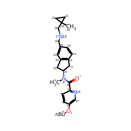 CCCCOc1ccc(C(=O)N(C)[C@@H]2Cc3ccc(CNCC4(C)CC4)cc3C2)nc1